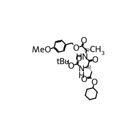 COc1ccc(COC(=O)[C@H](C)NC(=O)[C@H](CC(=O)OC2CCCCC2)NC(=O)OC(C)(C)C)cc1